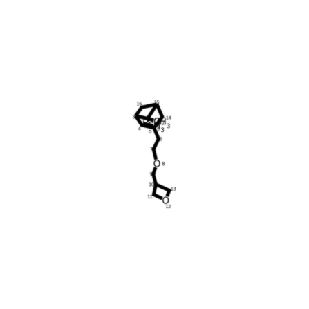 CC1(C)C2C=C(CCOCC3COC3)CC1C2